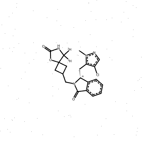 [2H]C1([2H])NC(=O)OC12CC(CN1C(=O)c3ccccc3[C@H]1Cc1c(Cl)cnn1C)C2